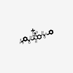 CC(C)(C)OC(=O)NC1CC(NC(=O)OCc2ccccc2)CCC1NC(=O)CNC(=O)c1cccc(C(F)(F)F)c1